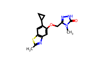 Cc1nc2cc(OCc3n[nH]c(=O)n3C)c(C3CC3)cc2s1